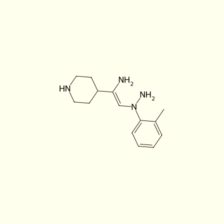 Cc1ccccc1N(N)/C=C(\N)C1CCNCC1